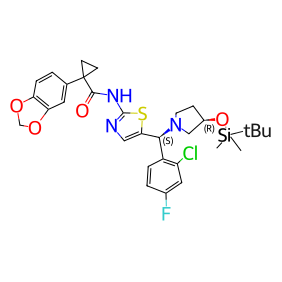 CC(C)(C)[Si](C)(C)O[C@@H]1CCN([C@H](c2cnc(NC(=O)C3(c4ccc5c(c4)OCO5)CC3)s2)c2ccc(F)cc2Cl)C1